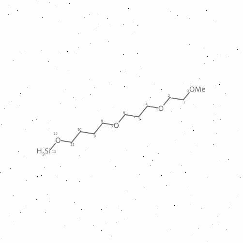 COCCOCCCOCCCCO[SiH3]